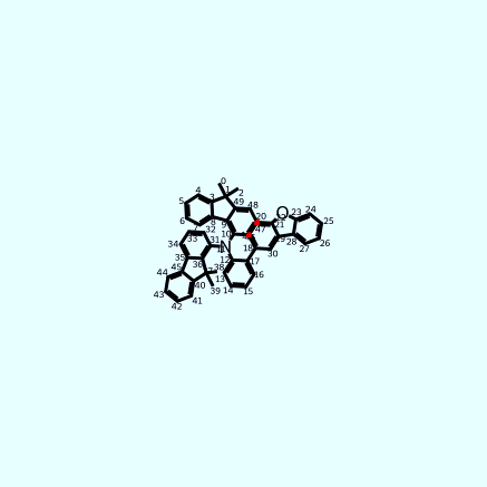 CC1(C)c2ccccc2-c2c(N(c3ccccc3-c3ccc4oc5ccccc5c4c3)c3cccc4c3C(C)(C)c3ccccc3-4)cccc21